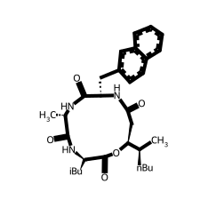 CCCC[C@H](C)[C@@H]1CC(=O)N[C@@H](Cc2ccc3ccccc3c2)C(=O)N[C@@H](C)C(=O)N[C@H]([C@H](C)CC)C(=O)O1